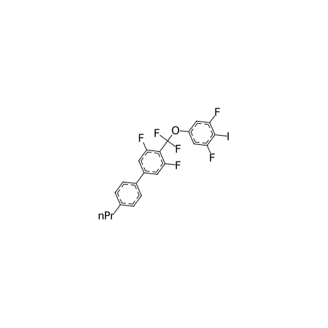 CCCc1ccc(-c2cc(F)c(C(F)(F)Oc3cc(F)c(I)c(F)c3)c(F)c2)cc1